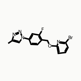 Cc1cn(-c2ccc(COc3cccc(Br)n3)c(F)c2)nn1